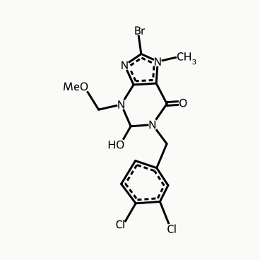 COCN1c2nc(Br)n(C)c2C(=O)N(Cc2ccc(Cl)c(Cl)c2)C1O